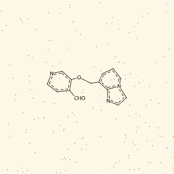 O=Cc1ccncc1OCc1cccn2ccnc12